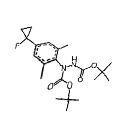 Cc1cc(C2(F)CC2)cc(C)c1N(NC(=O)OC(C)(C)C)C(=O)OC(C)(C)C